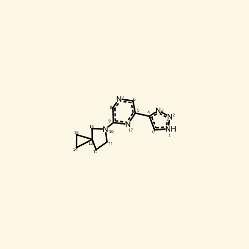 c1[nH]nnc1-c1cncc(N2CCC3(CC3)C2)n1